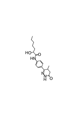 CCCCCC(O)C(=O)Nc1ccc(C2=NNC(=O)CC2C)cc1